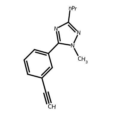 C#Cc1cccc(-c2nc(CCC)nn2C)c1